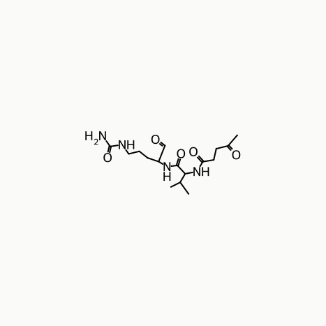 CC(=O)CCC(=O)NC(C(=O)NC(C=O)CCCNC(N)=O)C(C)C